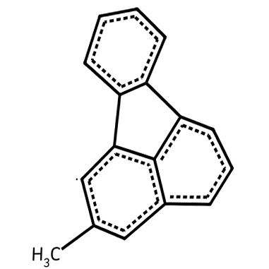 Cc1[c]c2c3c(cccc3c1)-c1ccccc1-2